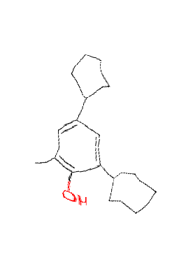 Cc1cc(C2CCCC2)cc(C2CCCC2)c1O